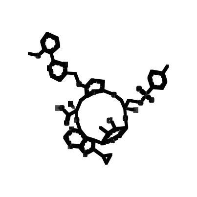 COc1ccccc1-c1nccc(COc2ccc3cc2C[C@H](C(=O)O)Oc2ncnc4sc(C5CC5)c(c24)-c2ccc(c(Cl)c2C)O[C@@H](COS(=O)(=O)c2ccc(C)cc2)CO3)n1